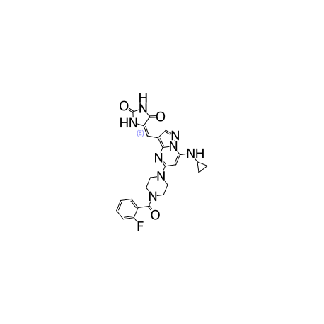 O=C1NC(=O)/C(=C\c2cnn3c(NC4CC4)cc(N4CCN(C(=O)c5ccccc5F)CC4)nc23)N1